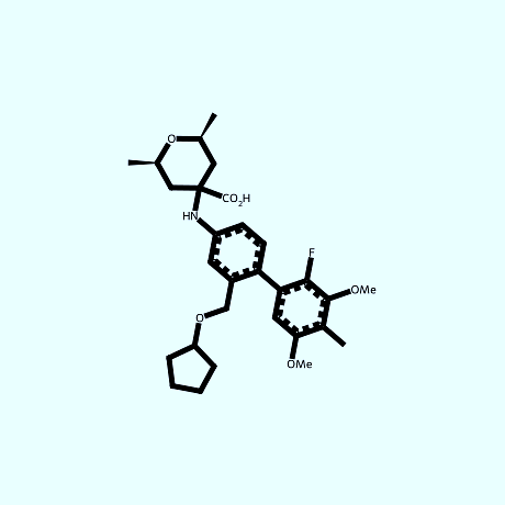 COc1cc(-c2ccc(NC3(C(=O)O)C[C@@H](C)O[C@@H](C)C3)cc2COC2CCCC2)c(F)c(OC)c1C